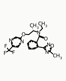 CCN(C(=O)c1ccccc1-c1noc(C)n1)[C@@H](C)COc1cnc(C(F)(F)F)cn1